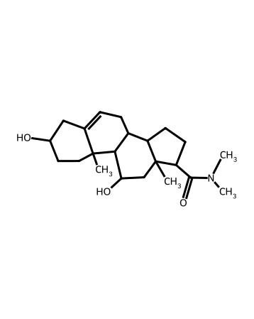 CN(C)C(=O)C1CCC2C3CC=C4CC(O)CCC4(C)C3C(O)CC12C